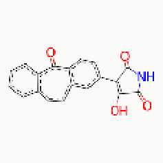 O=C1NC(=O)C(c2ccc3c(=O)c4ccccc4ccc3c2)=C1O